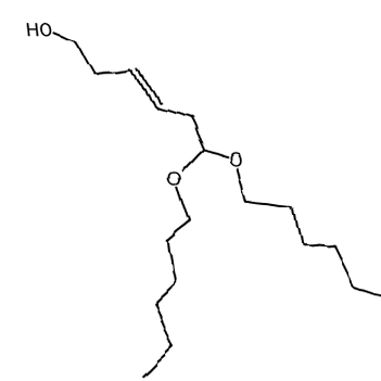 CCCCCCOC(C/C=C/CCO)OCCCCCC